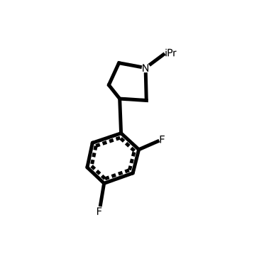 CC(C)N1CCC(c2ccc(F)cc2F)C1